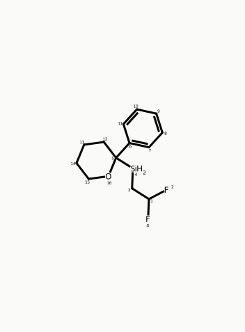 FC(F)C[SiH2]C1(c2ccccc2)CCCCO1